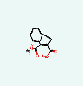 O=C(O)c1ccc2ccccc2c1C(=O)O.[Hg]